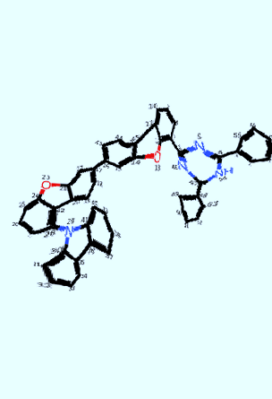 c1ccc(C2=NC(c3cccc4c3oc3cc(-c5ccc6c(c5)oc5cccc(-n7c8ccccc8c8ccccc87)c56)ccc34)=NC(c3ccccc3)N2)cc1